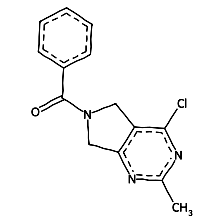 Cc1nc(Cl)c2c(n1)CN(C(=O)c1ccccc1)C2